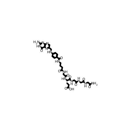 NC(=O)CNC(=O)CNC(=O)CNC(=O)[C@H](CCC(=O)O)NC(=O)CNC(=O)CCCNC(=O)c1ccc(NCc2cnc3nc(N)[nH]c(=O)c3n2)cc1